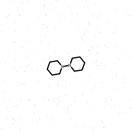 [CH]1CCCCN1N1CCCCC1